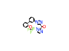 Cn1ccnc1C(=O)c1cn(-c2cccc(-c3ccccc3OC(F)(F)F)c2)cn1